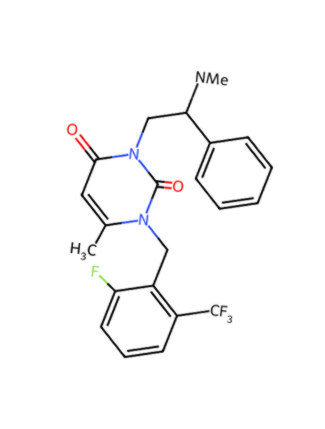 CNC(Cn1c(=O)cc(C)n(Cc2c(F)cccc2C(F)(F)F)c1=O)c1ccccc1